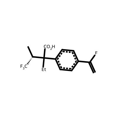 C=C(F)c1ccc(C(CC)(C(=O)O)[C@@H](C)C(F)(F)F)cc1